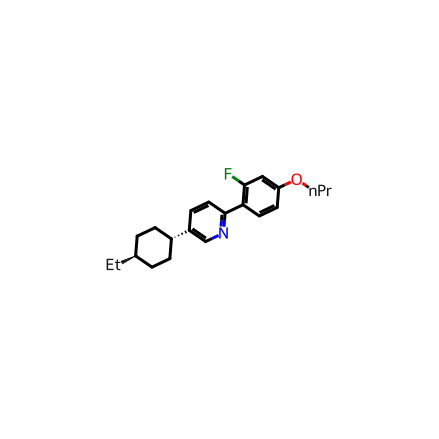 CCCOc1ccc(-c2ccc([C@H]3CC[C@H](CC)CC3)cn2)c(F)c1